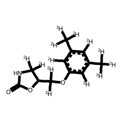 [2H]c1c(OC([2H])([2H])C2OC(=O)NC2([2H])[2H])c([2H])c(C([2H])([2H])[2H])c([2H])c1C([2H])([2H])[2H]